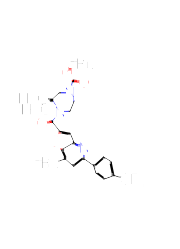 CC(C)(C)OC(=O)N1CCN(C(=O)c2cc3nc(-c4ccc(C(F)(F)F)cc4)cc(C(C)(C)C)c3o2)C(C)(C)C1